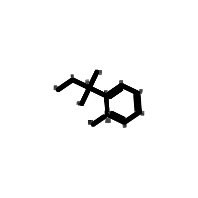 CCC(C)(C)c1cccc[n+]1C